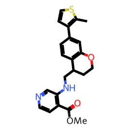 COC(=O)c1ccncc1NCC1CCOc2cc(-c3ccsc3C)ccc21